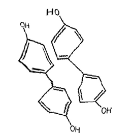 Oc1ccc(-c2ccc(O)cc2)cc1.Oc1ccc(-c2ccc(O)cc2)cc1